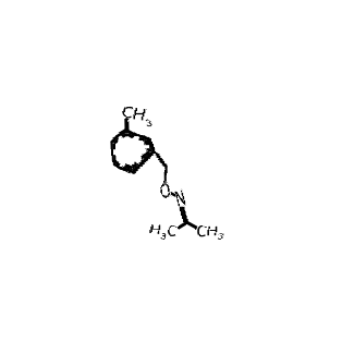 CC(C)=NOCc1cccc(C)c1